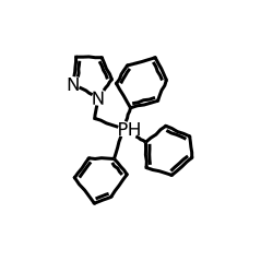 c1ccc([PH](Cn2cccn2)(c2ccccc2)c2ccccc2)cc1